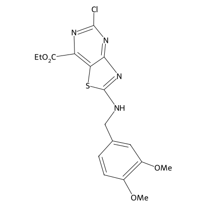 CCOC(=O)c1nc(Cl)nc2nc(NCc3ccc(OC)c(OC)c3)sc12